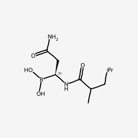 CC(C)CC(C)C(=O)N[C@H](CC(N)=O)B(O)O